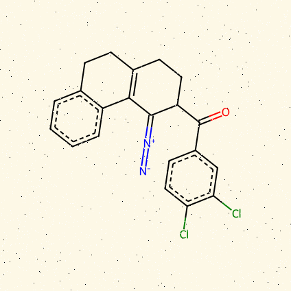 [N-]=[N+]=C1C2=C(CCc3ccccc32)CCC1C(=O)c1ccc(Cl)c(Cl)c1